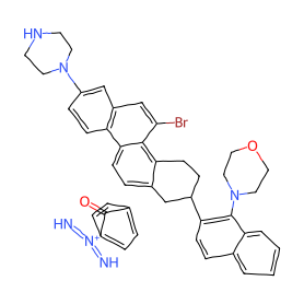 Brc1cc2cc(N3CCNCC3)ccc2c2ccc3c(c12)CCC(c1ccc2ccccc2c1N1CCOCC1)C3.N=[N+]=N.O=C1C2=CC=C1C=C2